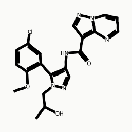 COc1ccc(Cl)cc1-c1c(NC(=O)c2cnn3cccnc23)cnn1CC(C)O